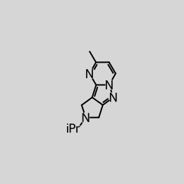 Cc1ccn2nc3c(c2n1)CN(C(C)C)C3